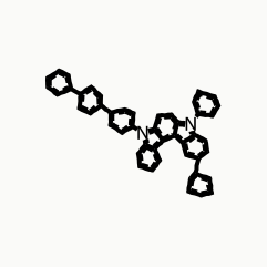 c1ccc(-c2ccc(-c3ccc(-n4c5ccccc5c5c6c7cc(-c8ccccc8)ccc7n(-c7ccccc7)c6ccc54)cc3)cc2)cc1